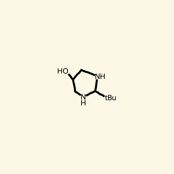 CC(C)(C)C1NCC(O)CN1